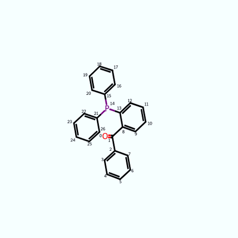 O=C(c1ccccc1)c1ccccc1P(c1ccccc1)c1ccccc1